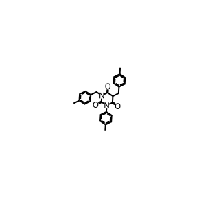 Cc1ccc(CC2C(=O)N(Cc3ccc(C)cc3)C(=O)N(c3ccc(C)cc3)C2=O)cc1